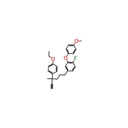 C#CC(C)(CCCc1ccc(F)c(Oc2ccc(OC)cc2)c1)c1ccc(OCC)cc1